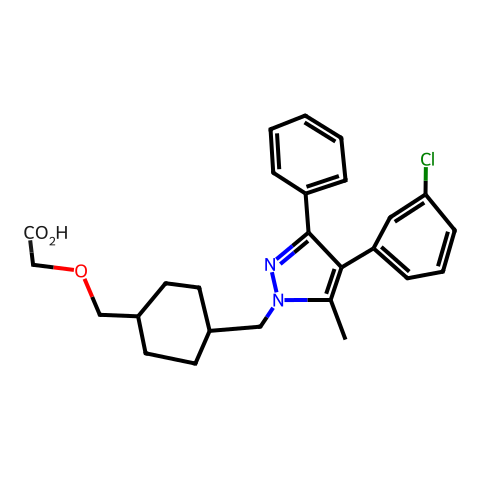 Cc1c(-c2cccc(Cl)c2)c(-c2ccccc2)nn1CC1CCC(COCC(=O)O)CC1